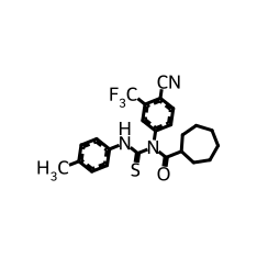 Cc1ccc(NC(=S)N(C(=O)C2CCCCCC2)c2ccc(C#N)c(C(F)(F)F)c2)cc1